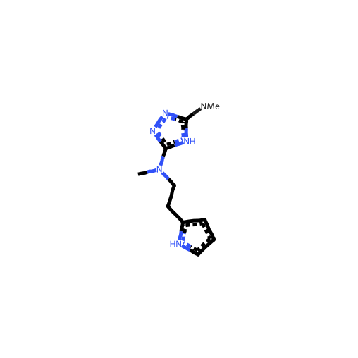 CNc1nnc(N(C)CCc2ccc[nH]2)[nH]1